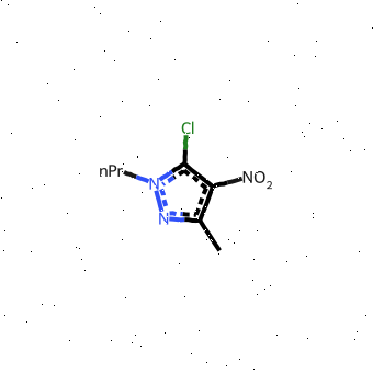 CCCn1nc(C)c([N+](=O)[O-])c1Cl